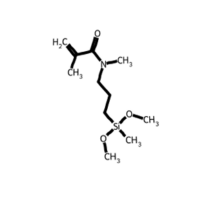 C=C(C)C(=O)N(C)CCC[Si](C)(OC)OC